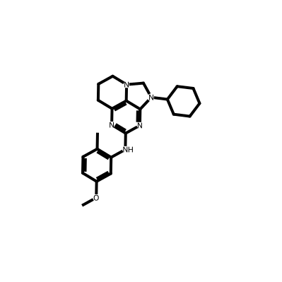 COc1ccc(C)c(Nc2nc3c4c(n2)N(C2CCCCC2)CN4CCC3)c1